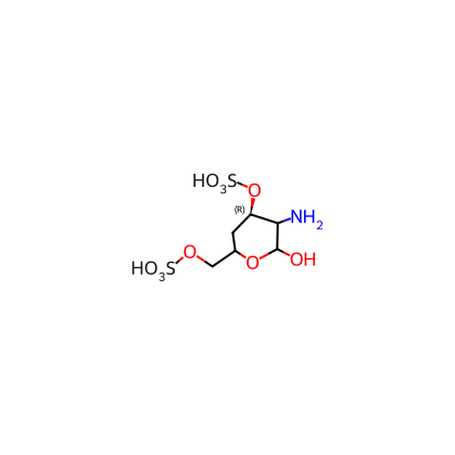 NC1C(O)OC(COS(=O)(=O)O)C[C@H]1OS(=O)(=O)O